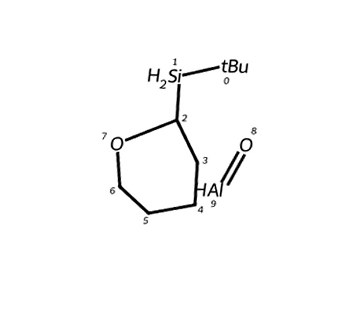 CC(C)(C)[SiH2]C1CCCCO1.[O]=[AlH]